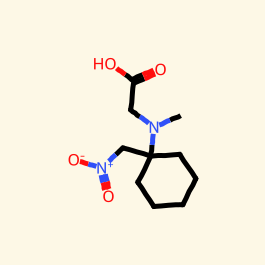 CN(CC(=O)O)C1(C[N+](=O)[O-])CCCCC1